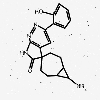 NC1C2CCC3(CCC12)C(=O)Nc1nnc(-c2ccccc2O)cc13